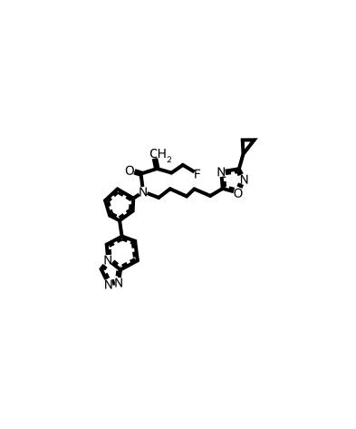 C=C(CCF)C(=O)N(CCCCCc1nc(C2CC2)no1)c1cccc(-c2ccc3nncn3c2)c1